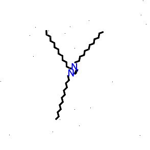 CCCCCCCCCCCCC[n+]1ccn(CCCCCCCCCCCC)c1CCCCCCCCCCCC